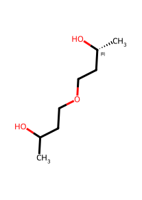 CC(O)CCOCC[C@@H](C)O